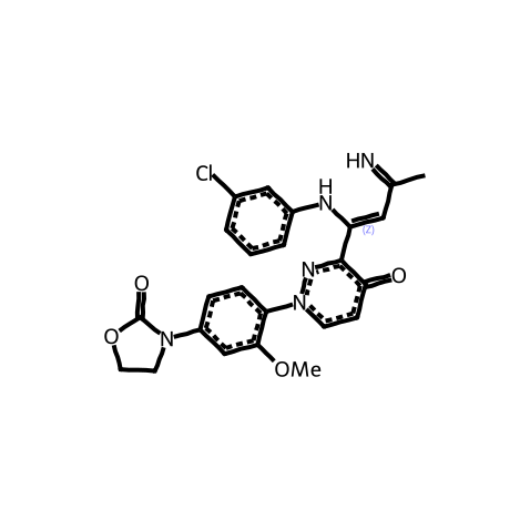 COc1cc(N2CCOC2=O)ccc1-n1ccc(=O)c(/C(=C/C(C)=N)Nc2cccc(Cl)c2)n1